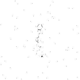 O=C(NC12CCC(c3nc4cc(Cl)ccc4o3)(CC1)CC2)C1CCCS(=O)(=O)C1